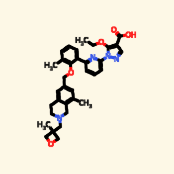 CCOc1c(C(=O)O)cnn1-c1cccc(-c2cccc(C)c2OCc2cc(C)c3c(c2)CCN(CC2(C)COC2)C3)n1